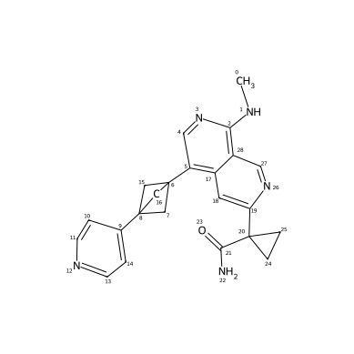 CNc1ncc(C23CC(c4ccncc4)(C2)C3)c2cc(C3(C(N)=O)CC3)ncc12